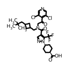 CC(C)(C)CC1CC(CN(CC(=O)c2c(Cl)cncc2Cl)C(=O)c2cnn([C@H]3CC[C@H](C(=O)O)CC3)c2C(F)(F)F)C1